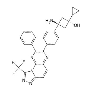 N[C@]1(c2ccc(-c3nc4ccc5nnc(C(F)(F)F)n5c4nc3-c3ccccc3)cc2)C[C@](O)(C2CC2)C1